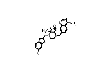 CC1(C)C(C=O)N(Cc2ccc3c(N)ncnc3c2)CCN1Cc1cc2ccc(Cl)cc2s1